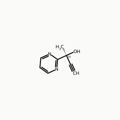 C#C[C@](C)(O)c1ncccn1